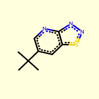 CC(C)(C)c1cnc2nnsc2c1